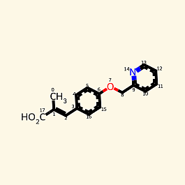 C/C(=C\c1ccc(OCc2ccccn2)cc1)C(=O)O